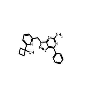 Nc1nc(-c2ccccc2)c2nnn(Cc3cccc(C4(O)CCC4)n3)c2n1